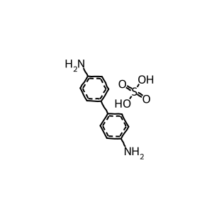 Nc1ccc(-c2ccc(N)cc2)cc1.O=S(=O)(O)O